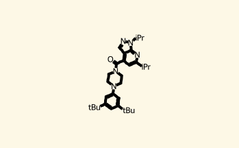 CC(C)c1cc(C(=O)N2CCN(c3cc(C(C)(C)C)cc(C(C)(C)C)c3)CC2)c2cnn(C(C)C)c2n1